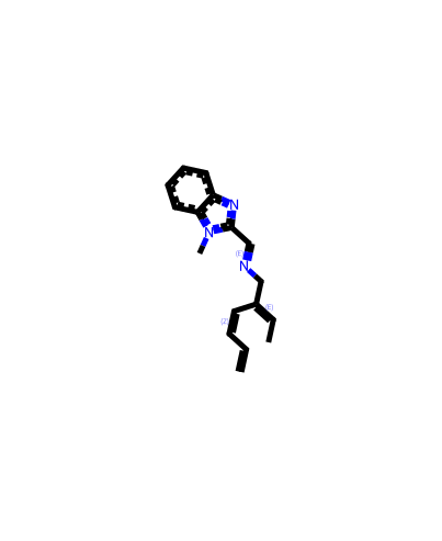 C=C/C=C\C(=C/C)C/N=C/c1nc2ccccc2n1C